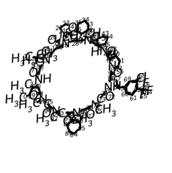 CC[C@H](C)[C@@H]1NC(=O)[C@H](CC(C)C)N(C)C(=O)C[C@@H](C(=O)N2CCOC2)N(C)C(=O)[C@H](C2CCCCC2)N(C)C(=O)C2(CCCC2)NC(=O)[C@@H]2CCCN2C(=O)[C@H](CCc2ccc(C(F)(F)F)c(Cl)c2)NC(=O)CN(C)C(=O)[C@H](CC2CCCCC2)N(C)C(=O)CN(C)C(=O)CN(C)C1=O